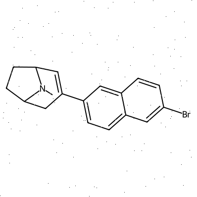 CN1C2C=C(c3ccc4cc(Br)ccc4c3)CC1CC2